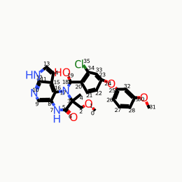 COCC1(C)C(=O)Nc2cnc3[nH]ccc3c2N1C(O)c1ccc(Oc2cccc(OC)c2)cc1Cl